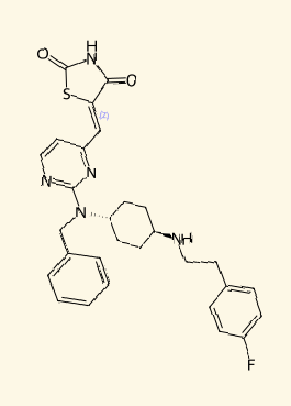 O=C1NC(=O)/C(=C/c2ccnc(N(Cc3ccccc3)[C@H]3CC[C@H](NCCc4ccc(F)cc4)CC3)n2)S1